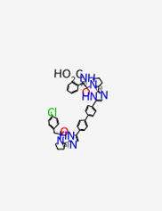 O=C(O)N[C@@H](C(=O)N1CCC[C@H]1c1ncc(-c2ccc(-c3ccc(-c4cnc([C@@H]5CCCN5C(=O)Cc5ccc(Cl)cc5)[nH]4)cc3)cc2)[nH]1)c1ccccc1